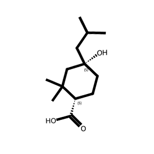 CC(C)C[C@@]1(O)CC[C@H](C(=O)O)C(C)(C)C1